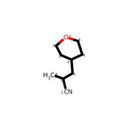 C[C](C#N)CC1CCOCC1